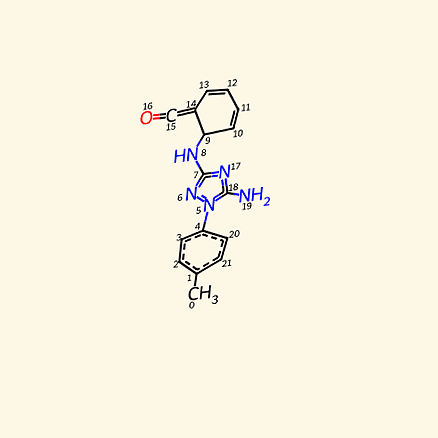 Cc1ccc(-n2nc(NC3C=CC=CC3=C=O)nc2N)cc1